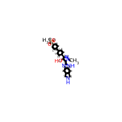 Cn1nc(-c2ccc(-c3ccc(S(C)(=O)=O)cc3)cc2)c(O)c1-c1nc2cc3c(cc2[nH]1)CNC3